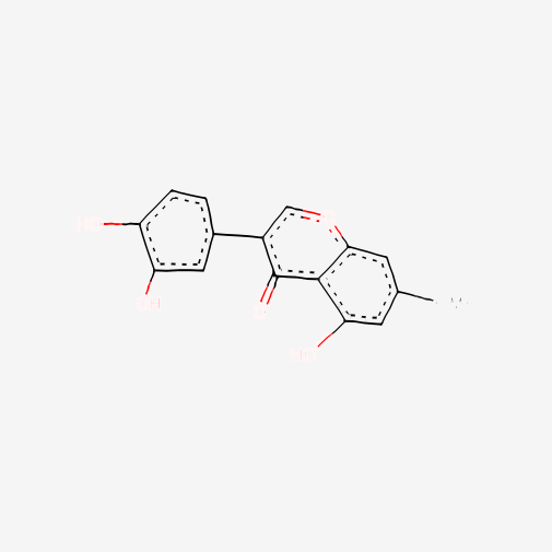 COc1cc(O)c2c(=O)c(-c3ccc(O)c(O)c3)coc2c1